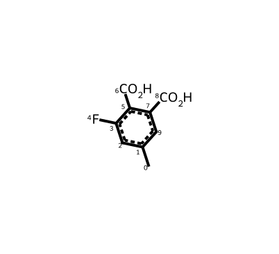 Cc1cc(F)c(C(=O)O)c(C(=O)O)c1